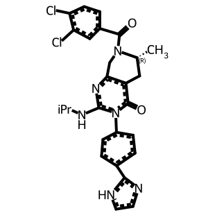 CC(C)Nc1nc2c(c(=O)n1-c1ccc(-c3ncc[nH]3)cc1)C[C@@H](C)N(C(=O)c1ccc(Cl)c(Cl)c1)C2